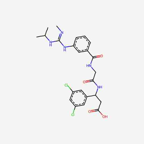 CN=C(Nc1cccc(C(=O)NCC(=O)NC(CC(=O)O)c2cc(Cl)cc(Cl)c2)c1)NC(C)C